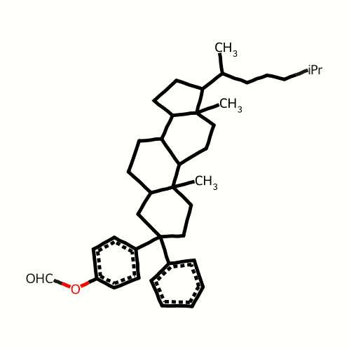 CC(C)CCCC(C)C1CCC2C3CCC4CC(c5ccccc5)(c5ccc(OC=O)cc5)CCC4(C)C3CCC12C